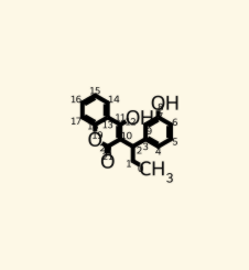 CCC(c1cccc(O)c1)c1c(O)c2ccccc2oc1=O